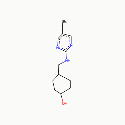 CC(C)(C)c1cnc(NCC2CCC(O)CC2)nc1